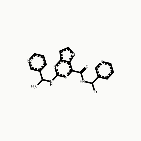 CCC(NC(=O)c1nc(NC(C)c2cccnc2)nc2ccsc12)c1cccnc1